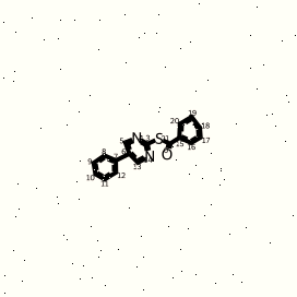 O=C(Sc1ncc(-c2ccccc2)cn1)c1ccccc1